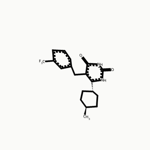 C[C@H]1CC[C@H](c2[nH]c(=O)[nH]c(=O)c2Cc2cccc(C(F)(F)F)c2)CC1